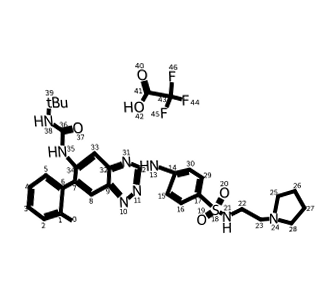 Cc1ccccc1-c1cc2nnc(Nc3ccc(S(=O)(=O)NCCN4CCCC4)cc3)nc2cc1NC(=O)NC(C)(C)C.O=C(O)C(F)(F)F